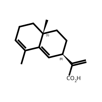 C=C(C(=O)O)[C@H]1C=C2C(C)=CCC[C@]2(C)CC1